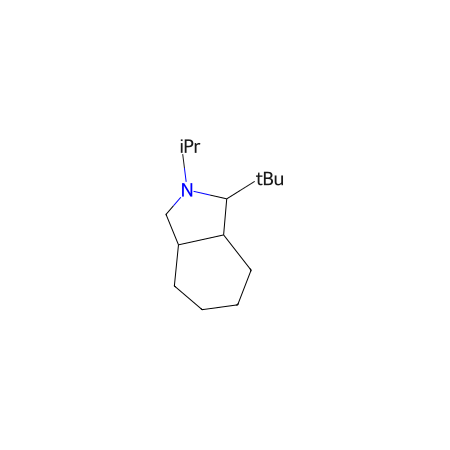 CC(C)N1CC2CCCCC2C1C(C)(C)C